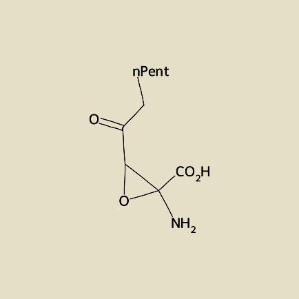 CCCCCCC(=O)C1OC1(N)C(=O)O